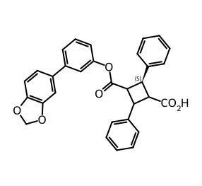 O=C(O)C1C(c2ccccc2)C(C(=O)Oc2cccc(-c3ccc4c(c3)OCO4)c2)[C@H]1c1ccccc1